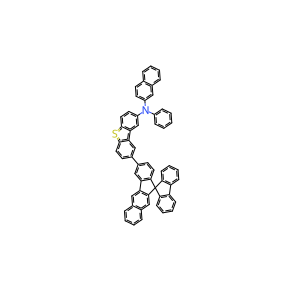 c1ccc(N(c2ccc3ccccc3c2)c2ccc3sc4ccc(-c5ccc6c(c5)-c5cc7ccccc7cc5C65c6ccccc6-c6ccccc65)cc4c3c2)cc1